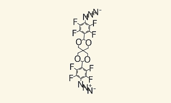 [N-]=[N+]=Nc1c(F)c(F)c(C2OCC3(CO2)COC(c2c(F)c(F)c(N=[N+]=[N-])c(F)c2F)OC3)c(F)c1F